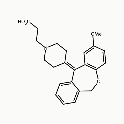 COc1ccc2c(c1)C(=C1CCN(CCC(=O)O)CC1)c1ccccc1CO2